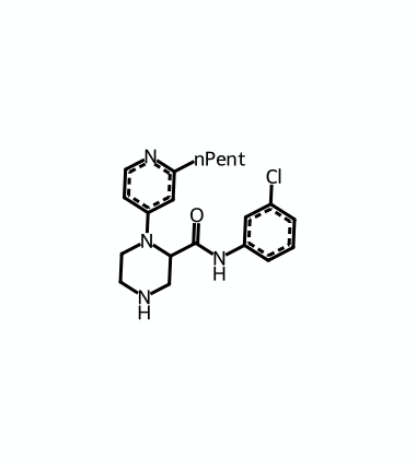 CCCCCc1cc(N2CCNCC2C(=O)Nc2cccc(Cl)c2)ccn1